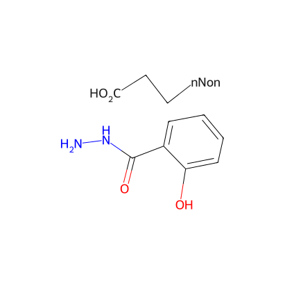 CCCCCCCCCCCC(=O)O.NNC(=O)c1ccccc1O